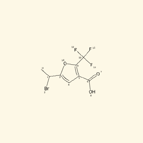 CC(Br)c1cc(C(=O)O)c(C(F)(F)F)o1